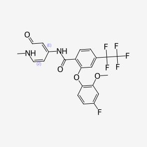 CN/C=C\C(=C/C=O)NC(=O)c1ccc(C(F)(F)C(F)(F)F)cc1Oc1ccc(F)cc1OC